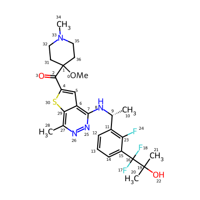 COC1(C(=O)c2cc3c(N[C@H](C)c4cccc(C(F)(F)C(C)(C)O)c4F)nnc(C)c3s2)CCN(C)CC1